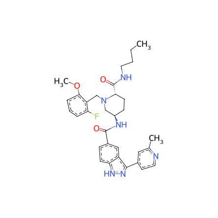 CCCCNC(=O)[C@@H]1CC[C@@H](NC(=O)c2ccc3[nH]nc(-c4ccnc(C)c4)c3c2)CN1Cc1c(F)cccc1OC